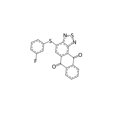 O=C1c2ccccc2C(=O)c2c1cc(Sc1cccc(F)c1)c1nsnc21